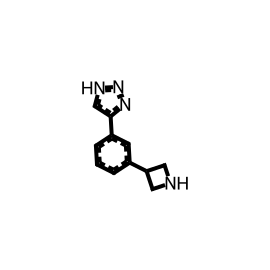 c1cc(-c2c[nH]nn2)cc(C2CNC2)c1